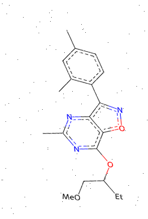 CCC(COC)Oc1nc(C)nc2c(-c3ccc(C)cc3C)noc12